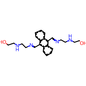 OCCNCCN=Cc1c2ccccc2c(C=NCCNCCO)c2ccccc12